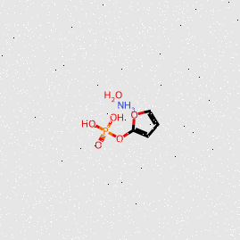 N.O.O=P(O)(O)Oc1ccco1